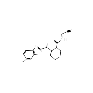 N#CCNC(=O)C1CCCCC1C(S)c1nc2ccc(Cl)cc2o1